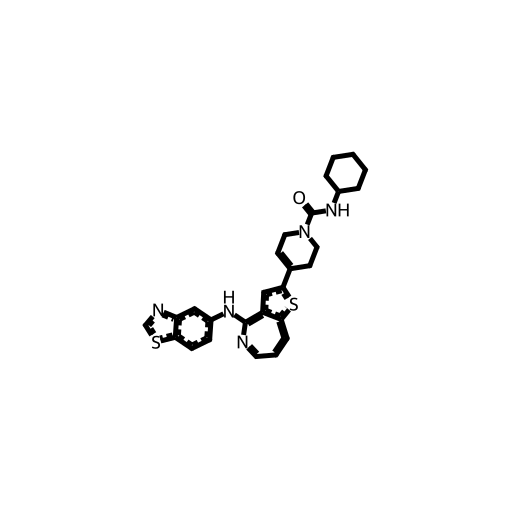 O=C(NC1CCCCC1)N1CC=C(c2cc3c(s2)=C=CC=NC=3Nc2ccc3scnc3c2)CC1